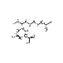 CCC(CCCCOC(C)=O)C(COC(C)=O)OC(C)=O